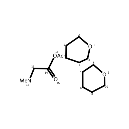 C1CCOCC1.C1CCOCC1.CNCC(=O)OC(C)=O